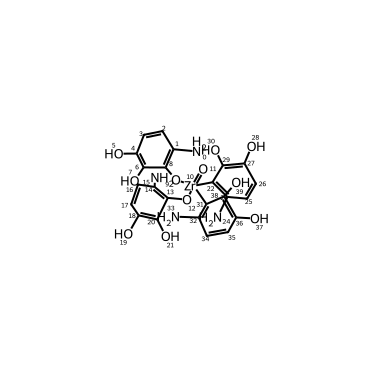 Nc1ccc(O)c(O)c1[O][Zr](=[O])([O]c1c(N)ccc(O)c1O)([c]1c(N)ccc(O)c1O)[c]1c(N)ccc(O)c1O